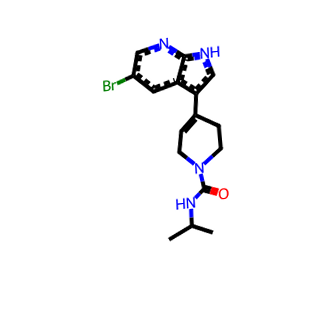 CC(C)NC(=O)N1CC=C(c2c[nH]c3ncc(Br)cc23)CC1